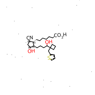 N#C[C@@H]1C[C@@H](O)[C@H](CCCC(O)C2(Cc3cccs3)CCC2)[C@H]1CCCCCCC(=O)O